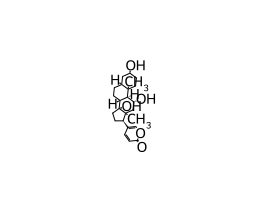 C[C@]12CC[C@H](O)C[C@H]1CC[C@@H]1[C@@H]2[C@H](O)C[C@]2(C)[C@@H](c3ccc(=O)oc3)CC[C@]12O